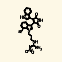 NC(=N[N+](=O)[O-])NCCCn1cc(C2=C(c3c[nH]c4ccccc34)C(=O)NC2=O)c2cccc(Br)c21